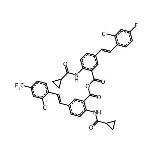 O=C(OC(=O)c1cc(C=Cc2ccc(C(F)(F)F)cc2Cl)ccc1NC(=O)C1CC1)c1cc(C=Cc2ccc(F)cc2Cl)ccc1NC(=O)C1CC1